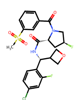 CS(=O)(=O)c1cccc(C(=O)N2C[C@@H](F)C[C@@H]2C(=O)N[C@@H](c2ccc(Cl)cc2F)C2COC2)c1